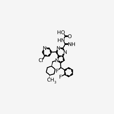 C[C@H]1CC[C@H](Cn2c(C(F)c3ccccc3F)cc3nc(C(=N)NC(=O)O)nc(-c4cncc(Cl)c4)c32)CC1